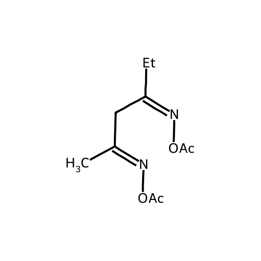 CCC(CC(C)=NOC(C)=O)=NOC(C)=O